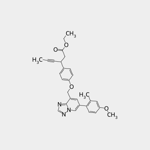 CC#CC(CC(=O)OCC)c1ccc(OCc2cc(-c3ccc(OC)cc3C)cn3ncnc23)cc1